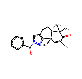 [C-]#[N+]C1=C[C@]2(C)c3nn(C(=O)c4ccccc4)cc3CC[C@H]2C(C)(C)C1=O